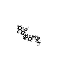 COCc1cc(-c2nc(-c3cccc(CN(C)CC(=O)OC(C)(C)C)c3)no2)ccc1-c1ccccc1Cl